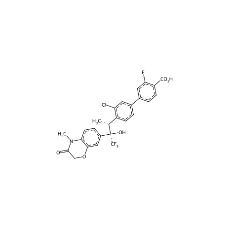 C[C@H](c1ccc(-c2ccc(C(=O)O)c(F)c2)cc1Cl)[C@@](O)(c1ccc2c(c1)OCC(=O)N2C)C(F)(F)F